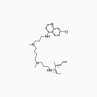 C=C/C=C(C)/C(=C\C)NCCCN(C)CCCCN(C)CCCNc1ccnc2cc(Cl)ccc12